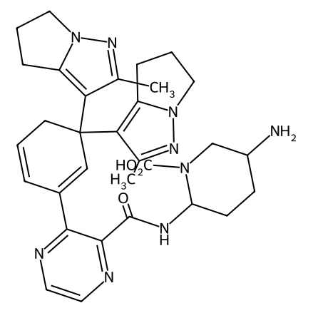 Cc1nn2c(c1C1(c3c(C)nn4c3CCC4)C=C(c3nccnc3C(=O)NC3CCC(N)CN3C(=O)O)C=CC1)CCC2